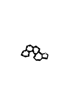 C1=CC2=CCSC2=c2ccc3ccc4ccccc4c3c2=C1